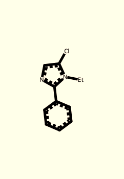 CCn1c(Cl)cnc1-c1ccccc1